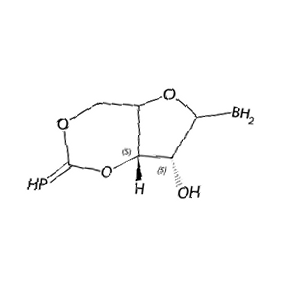 BC1OC2COC(=P)O[C@H]2[C@H]1O